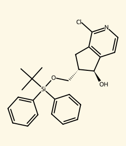 CC(C)(C)[Si](OC[C@@H]1Cc2c(ccnc2Cl)[C@H]1O)(c1ccccc1)c1ccccc1